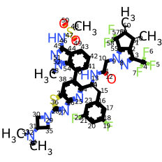 C[C@@H]1c2c(C(F)(F)F)nn(CC(=O)N[C@@H](Cc3cc(F)cc(F)c3)c3nc4nc(N5CC(N(C)C)C5)sc4cc3-c3cccc4c(NS(C)(=O)=O)nn(C)c34)c2C(F)(F)[C@@H]1C